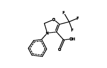 O=C(O)C1=C(C(F)(F)F)OCN1c1ccccc1